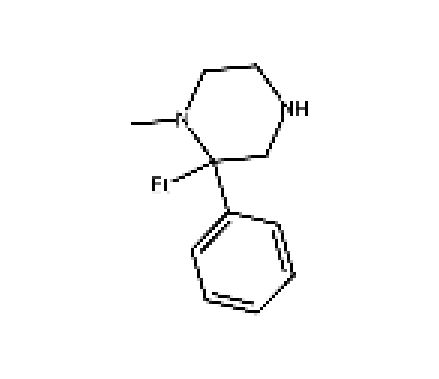 CCC1(c2ccccc2)CNCCN1C